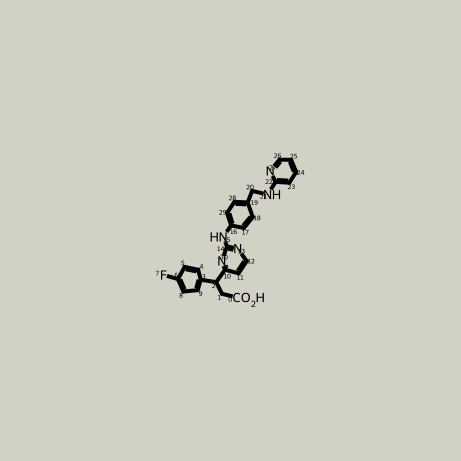 O=C(O)CC(c1ccc(F)cc1)c1ccnc(Nc2ccc(CNc3ccccn3)cc2)n1